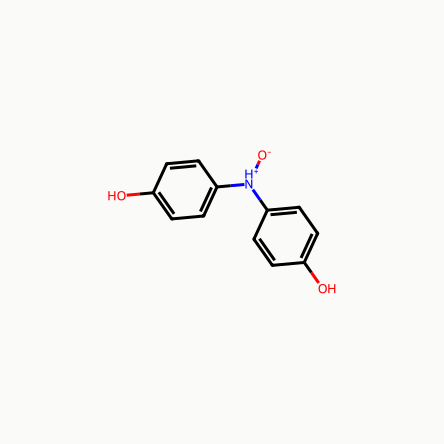 [O-][NH+](c1ccc(O)cc1)c1ccc(O)cc1